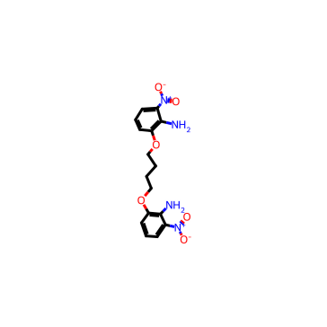 Nc1c(OCCCCOc2cccc([N+](=O)[O-])c2N)cccc1[N+](=O)[O-]